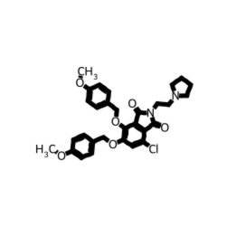 COc1ccc(COc2cc(Cl)c3c(c2OCc2ccc(OC)cc2)C(=O)N(CCN2CCCC2)C3=O)cc1